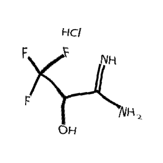 Cl.N=C(N)C(O)C(F)(F)F